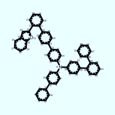 c1ccc(-c2ccc(N(c3ccc(-c4ccc(-c5ccccc5-c5cc6ccccc6o5)cc4)cc3)c3ccc(-c4ccccc4-c4ccccc4)cc3)cc2)cc1